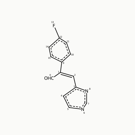 O=C/C(=C\c1ccncn1)c1ccc(F)cc1